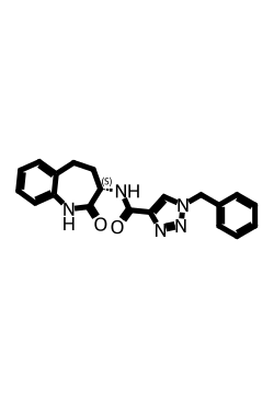 O=C(N[C@H]1CCc2ccccc2NC1=O)c1cn(Cc2ccccc2)nn1